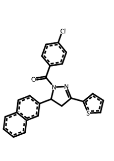 O=C(c1ccc(Cl)cc1)N1N=C(c2cccs2)CC1c1ccc2ccccc2c1